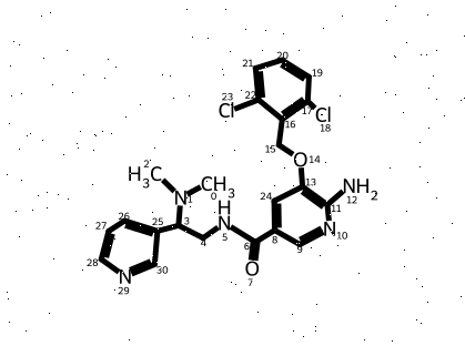 CN(C)C(CNC(=O)c1cnc(N)c(OCc2c(Cl)cccc2Cl)c1)c1cccnc1